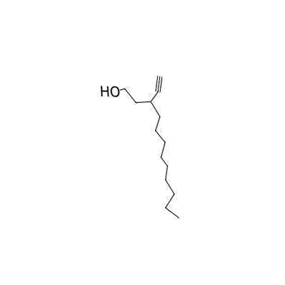 C#CC(CCO)CCCCCCCCC